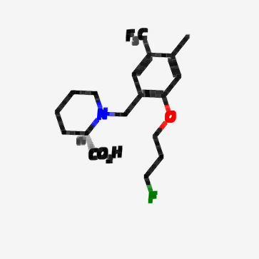 Cc1cc(OCCCF)c(CN2CCCC[C@H]2C(=O)O)cc1C(F)(F)F